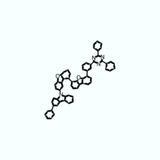 c1ccc(-c2ccc3c(c2)c2ccccc2n3-c2ccc3oc4cccc(-c5cccc6c5oc5c(-c7cccc(-c8nc(-c9ccccc9)nc(-c9ccccc9)n8)c7)cccc56)c4c3c2)cc1